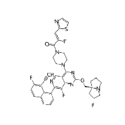 C#Cc1c(F)ccc2cccc(-c3ncc4c(N5CCN(C(=O)/C(F)=C/c6nccs6)CC5)nc(OC[C@@]56CCCN5C[C@H](F)C6)nc4c3F)c12